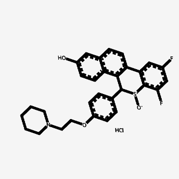 Cl.[O-][S+]1c2c(F)cc(F)cc2-c2ccc3cc(O)ccc3c2C1c1ccc(OCCN2CCCCC2)cc1